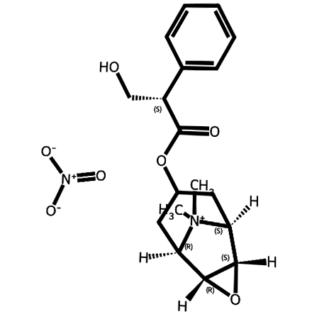 C[N+]1(C)[C@@H]2CC(OC(=O)[C@H](CO)c3ccccc3)C[C@H]1[C@@H]1O[C@@H]12.O=[N+]([O-])[O-]